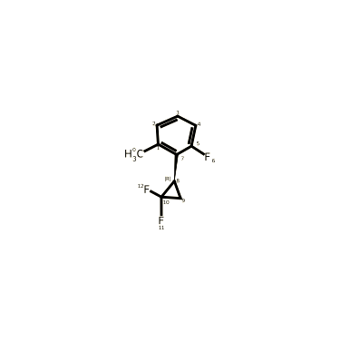 Cc1cccc(F)c1[C@H]1CC1(F)F